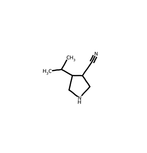 CC(C)C1CNCC1C#N